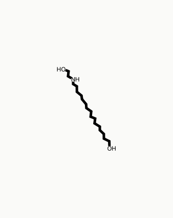 OCCCCCCCCCCCCCCCCNCCO